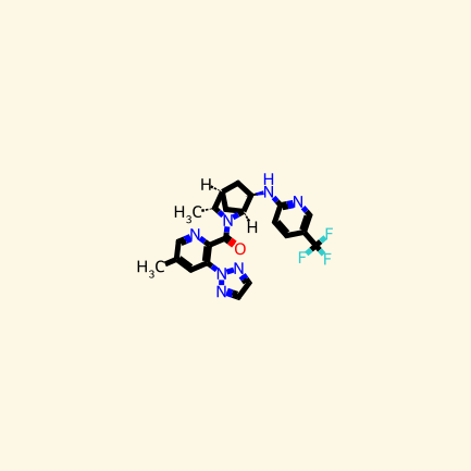 Cc1cnc(C(=O)N2[C@H](C)[C@H]3C[C@@H](Nc4ccc(C(F)(F)F)cn4)[C@@H]2C3)c(-n2nccn2)c1